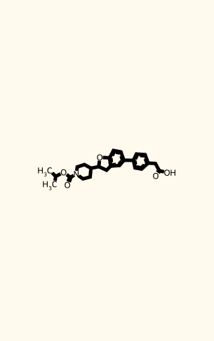 CC(C)OC(=O)N1CCC(C2Cc3cc(-c4ccc(CC(=O)O)cc4)ccc3O2)CC1